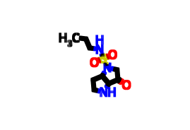 CCCNS(=O)(=O)N1CC(=O)C2NCCC21